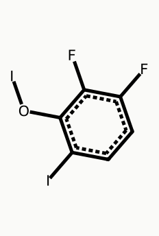 Fc1ccc(I)c(OI)c1F